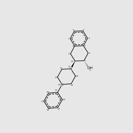 O[C@H]1Cc2ccccc2C[C@@H]1N1CCN(c2ccccc2)CC1